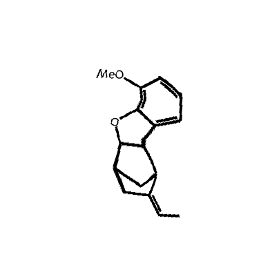 C/C=C1/CC2CC1C1c3cccc(OC)c3OC21